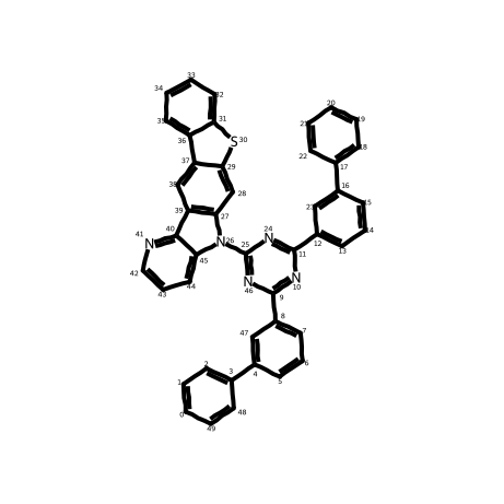 c1ccc(-c2cccc(-c3nc(-c4cccc(-c5ccccc5)c4)nc(-n4c5cc6sc7ccccc7c6cc5c5ncccc54)n3)c2)cc1